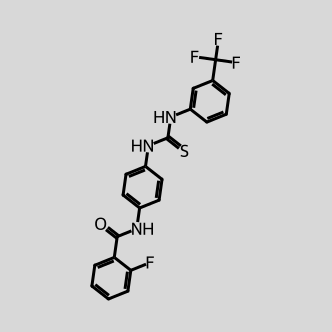 O=C(Nc1ccc(NC(=S)Nc2cccc(C(F)(F)F)c2)cc1)c1ccccc1F